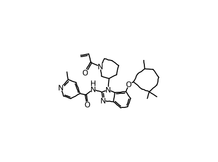 C=CC(=O)N1CCCCC(n2c(NC(=O)c3ccnc(C)c3)nc3cccc(OC4CC(C)CCCC(C)(C)C4)c32)C1